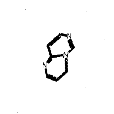 C1=CN=C2C=CN=CN2C1